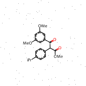 COC(=O)C(C(=O)c1cc(OC)cc(OC)c1)c1ccc(C(C)C)cc1